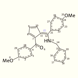 COc1ccc(C(=O)C2=CC=C/C2=C(/NCc2ccccc2)c2ccc(OC)cc2)cc1